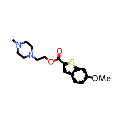 COc1ccc2cc(C(=O)OCCN3CCN(C)CC3)sc2c1